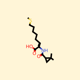 CSCCCCCC=C(NC(=O)C1CC1(C)C)C(=O)O